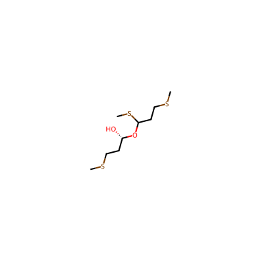 CSCCC(O[C@@H](O)CCSC)SC